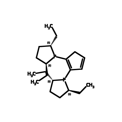 CC[C@H]1CC[C@H](CC)P1C1=C(P2[C@@H](CC)CC[C@@H]2CC)CC=C1